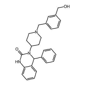 O=C1Nc2ccccc2C(c2ccccc2)N1C1CCN(Cc2cccc(CO)c2)CC1